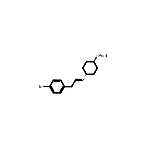 CCCCC[C@H]1CC[C@H](/C=C/[CH]c2ccc(Br)cc2)CC1